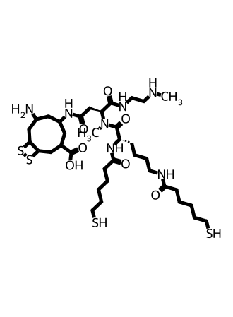 CNCCNC(=O)[C@H](CC(=O)NC1CC(N)CC2SSC2CC(C(=O)O)C1)N(C)C(=O)[C@H](CCCCNC(=O)CCCCCS)NC(=O)CCCCCS